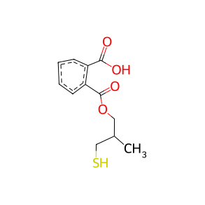 CC(CS)COC(=O)c1ccccc1C(=O)O